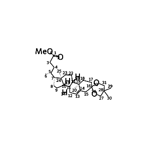 COC(=O)CC[C@@H](C)[C@H]1CC[C@H]2[C@@H]3CC=C4CC5(CC[C@]4(C)[C@H]3CC[C@]12C)OCC(C)(C)CO5